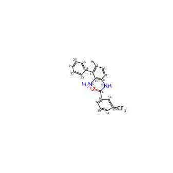 Cc1ccc(NC(=O)c2cccc(C(F)(F)F)c2)c(N)c1-c1ccccc1